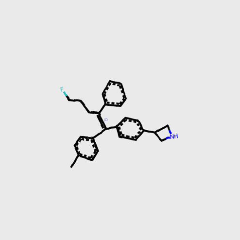 Cc1ccc(/C(=C(\CCCF)c2ccccc2)c2ccc(C3CNC3)cc2)cc1